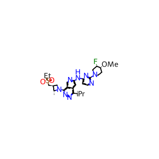 CCS(=O)(=O)C[C@H]1CN(c2nnc(C(C)C)c3cc(Nc4ccnc(N5CC[C@@H](OC)[C@@H](F)C5)n4)ncc23)[C@@H]1C